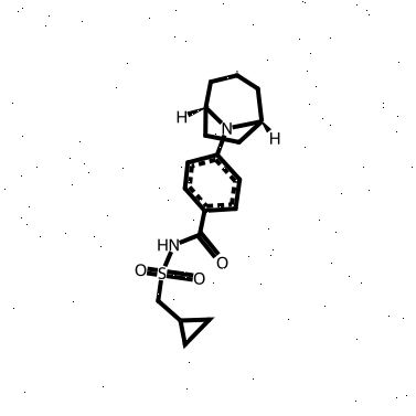 O=C(NS(=O)(=O)CC1CC1)c1ccc(N2[C@@H]3C[CH]C[C@H]2CC3)cc1